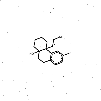 NCCC12CCCCC1(O)CCc1ccc(Cl)cc12